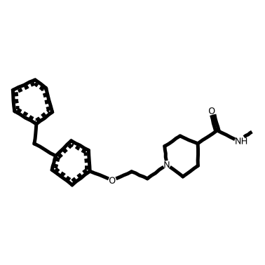 CNC(=O)C1CCN(CCOc2ccc(Cc3ccccc3)cc2)CC1